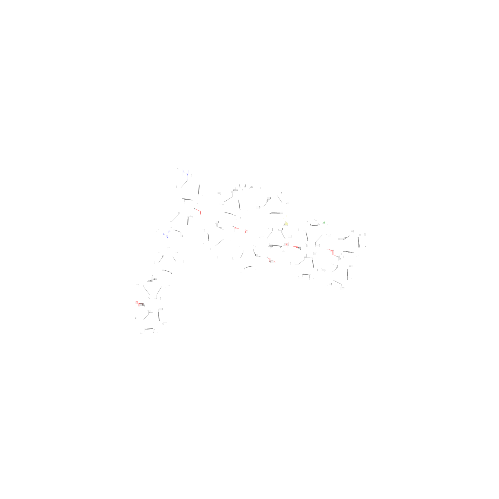 CN(C)c1ccc(C(=O)c2ccc(N(C)C)cc2)cc1.COc1ccc(C(=O)c2cccc(C)c2)cc1C.Cc1ccc(Sc2ccc(C(=O)c3ccccc3)cc2)cc1.O=C(c1ccccc1)c1ccc(-c2ccccc2)cc1.O=C(c1ccccc1)c1ccc(Cl)cc1.O=C(c1ccccc1)c1ccccc1